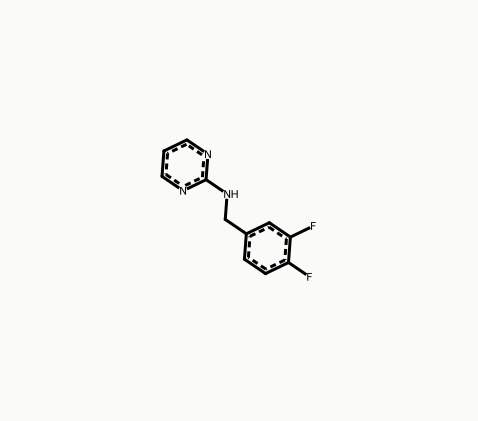 Fc1ccc(CNc2ncccn2)cc1F